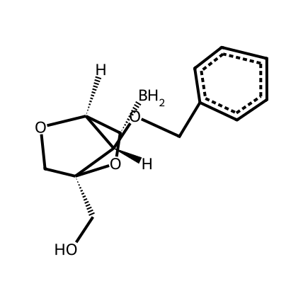 B[C@@H]1O[C@@]2(CO)CO[C@@H]1[C@@H]2OCc1ccccc1